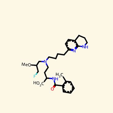 COC(CF)CN(CCCCc1ccc2c(n1)NCCC2)CCC(NC(=O)c1ccccc1C)C(=O)O